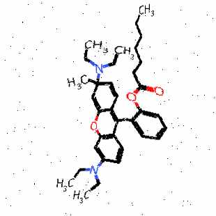 CCCCCCC(=O)Oc1ccccc1C1=C2C=CC(C)(N(CC)CC)C=C2Oc2cc(N(CC)CC)ccc21